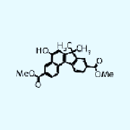 COC(=O)c1ccc2c(c1)C(C)(C)c1cc(O)c3cc(C(=O)OC)ccc3c1-2